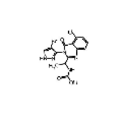 CC(NC(=O)O)c1nc2cccc(Cl)c2c(=O)n1-c1n[nH]cc1Br